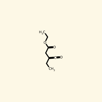 CCOC(=O)CC(=C=O)CC